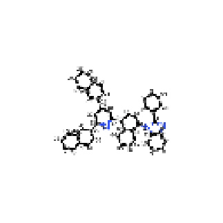 c1ccc(-c2nc3ccccc3n2-c2ccc(-c3cc(-c4ccc5ccccc5c4)cc(-c4ccc5ccccc5c4)n3)c3ccccc23)cc1